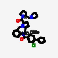 COC1(OC)CC(c2ccccc2)=C(Cl)C=C1C(=O)N1Cc2ccc(C(=O)N3CCC[C@H]3CN3CCCC3)n2Cc2ccccc21